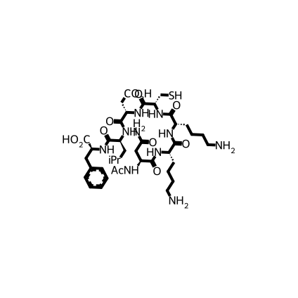 CC(=O)N[C@@H](CC(N)=O)C(=O)N[C@@H](CCCCN)C(=O)N[C@@H](CCCCN)C(=O)N[C@@H](CS)C(=O)N[C@@H](CC(=O)O)C(=O)N[C@@H](CC(C)C)C(=O)N[C@@H](Cc1ccccc1)C(=O)O